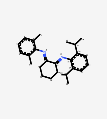 Cc1cccc(C)c1N=C1CCCCC1=Nc1c(C(C)C)cccc1C(C)C